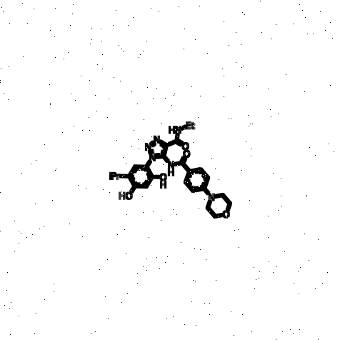 CCNC(=O)c1nnn(-c2cc(C(C)C)c(O)cc2O)c1NC(=O)c1ccc(N2CCOCC2)cc1